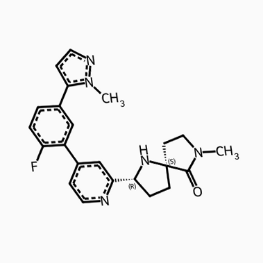 CN1CC[C@@]2(CC[C@H](c3cc(-c4cc(-c5ccnn5C)ccc4F)ccn3)N2)C1=O